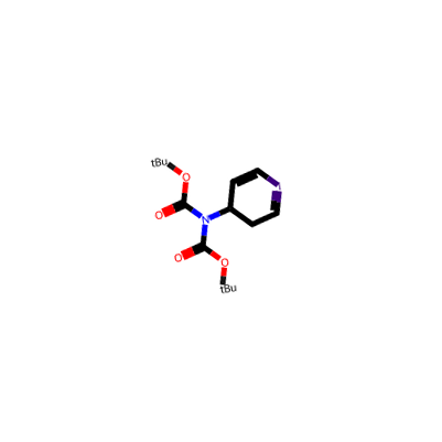 CC(C)(C)OC(=O)N(C(=O)OC(C)(C)C)C1C=CI=CC1